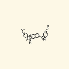 C=C(Nc1cc2cc(-c3cnn4c3CN(CCF)CC4)ccc2cn1)C1(F)CCN(CC(C)C)CC1